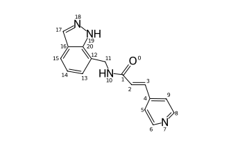 O=C(C=Cc1ccncc1)NCc1cccc2cn[nH]c12